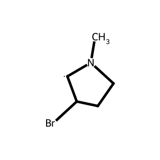 CN1[CH]C(Br)CC1